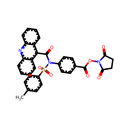 Cc1ccc(S(=O)(=O)N(C(=O)c2c3ccccc3nc3ccccc23)c2ccc(C(=O)ON3C(=O)CCC3=O)cc2)cc1